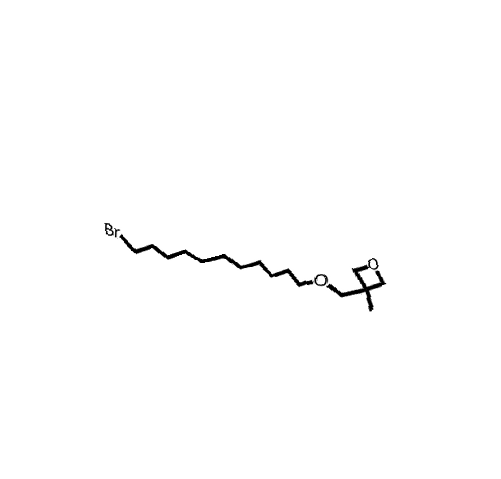 CC1(COCCCCCCCCCCCBr)COC1